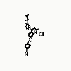 Cc1cc(N2CC[C@H](OCC3CC3)C2)c2ccc(OCc3ccc(C#N)cc3)cc2n1.Cl